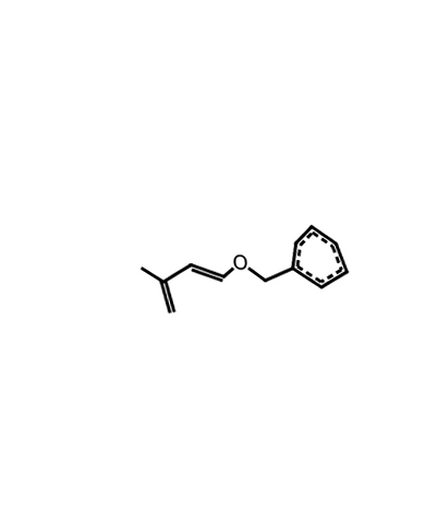 C=C(C)C=COCc1ccccc1